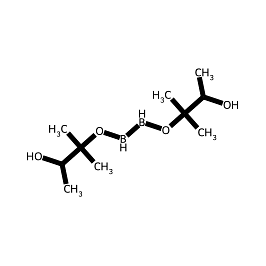 CC(O)C(C)(C)OBBOC(C)(C)C(C)O